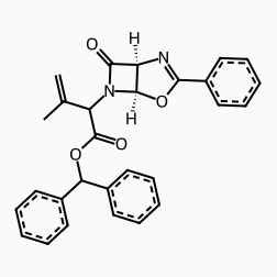 C=C(C)C(C(=O)OC(c1ccccc1)c1ccccc1)N1C(=O)[C@H]2N=C(c3ccccc3)O[C@H]21